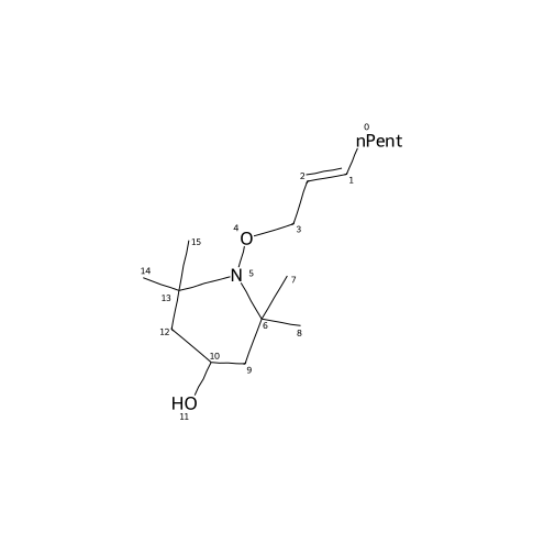 CCCCC/C=C/CON1C(C)(C)CC(O)CC1(C)C